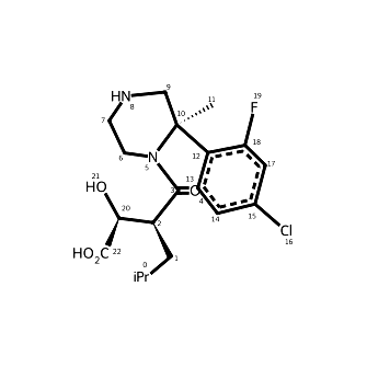 CC(C)C[C@H](C(=O)N1CCNC[C@@]1(C)c1ccc(Cl)cc1F)[C@H](O)C(=O)O